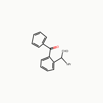 CCCC([C]=O)c1ccccc1C(=O)c1ccccc1